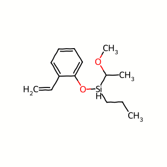 C=Cc1ccccc1O[SiH](CCC)C(C)OC